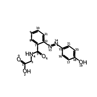 O=C(O)CNC(=O)c1ccccc1N=Nc1ccc(O)cc1